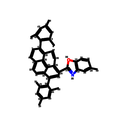 Cc1cc(C)c(-c2ccc3ccc4c(-c5c(C)cc(C)cc5C)cc(-c5nc6cc(C)ccc6o5)c5ccc2c3c54)c(C)c1